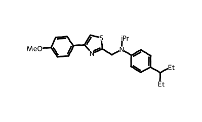 CCC(CC)c1ccc(N(Cc2nc(-c3ccc(OC)cc3)cs2)C(C)C)cc1